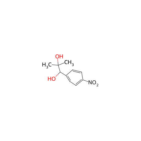 CC(C)(O)C(O)c1ccc([N+](=O)[O-])cc1